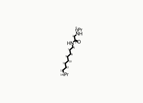 CCCNCC(=O)NCCCCCCCCC(C)C